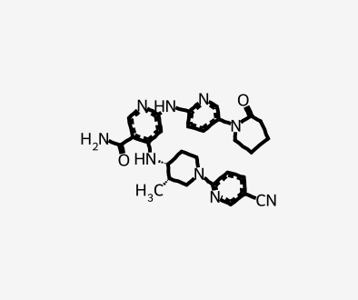 C[C@H]1CN(c2ccc(C#N)cn2)CC[C@H]1Nc1cc(Nc2ccc(N3CCCCC3=O)cn2)ncc1C(N)=O